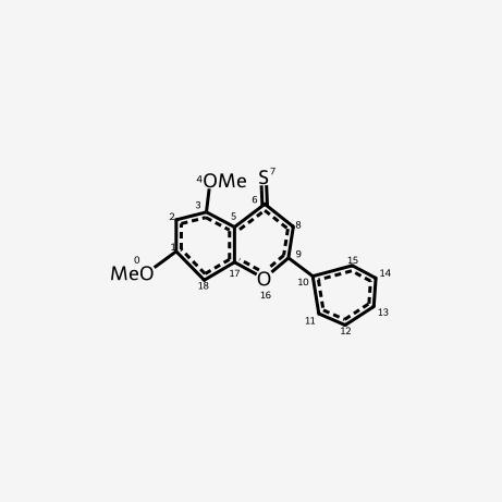 COc1cc(OC)c2c(=S)cc(-c3ccccc3)oc2c1